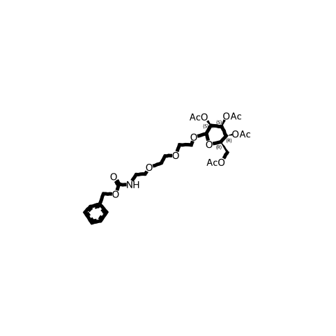 CC(=O)OC[C@H]1OC(OCCOCCOCCNC(=O)OCc2ccccc2)[C@@H](OC(C)=O)[C@@H](OC(C)=O)[C@@H]1OC(C)=O